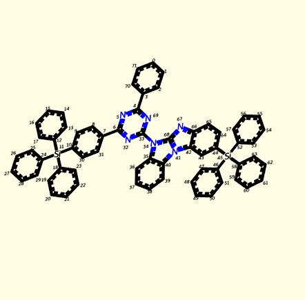 c1ccc(-c2nc(-c3ccc([Si](c4ccccc4)(c4ccccc4)c4ccccc4)cc3)nc(-n3c4ccccc4n4c5cc([Si](c6ccccc6)(c6ccccc6)c6ccccc6)ccc5nc34)n2)cc1